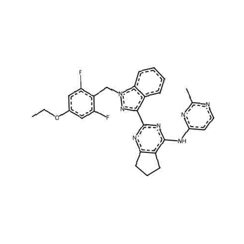 CCOc1cc(F)c(Cn2nc(-c3nc4c(c(Nc5ccnc(C)n5)n3)CCC4)c3ccccc32)c(F)c1